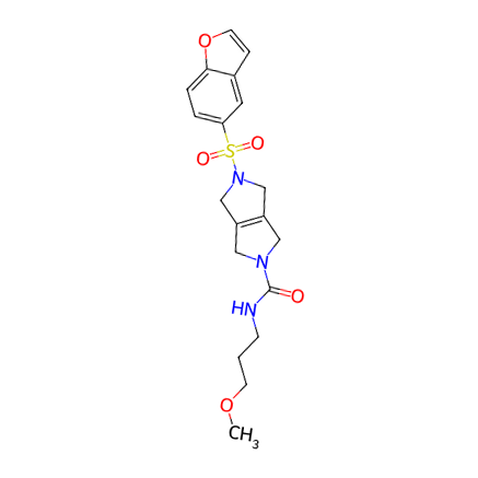 COCCCNC(=O)N1CC2=C(C1)CN(S(=O)(=O)c1ccc3occc3c1)C2